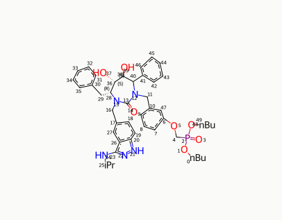 CCCCOP(=O)(COc1cccc(CN2C(=O)N(Cc3ccc4[nH]nc(NC(C)C)c4c3)[C@H](Cc3ccccc3)[C@H](O)[C@@H](O)C2c2ccccc2)c1)OCCCC